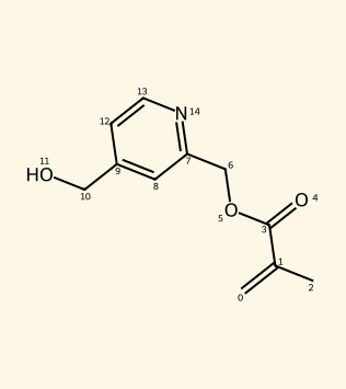 C=C(C)C(=O)OCc1cc(CO)ccn1